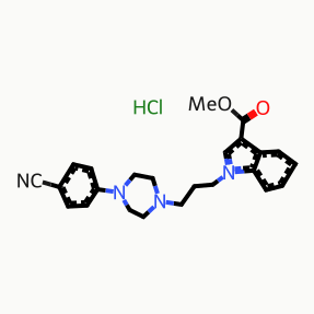 COC(=O)c1cn(CCCN2CCN(c3ccc(C#N)cc3)CC2)c2ccccc12.Cl